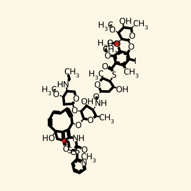 CCN[C@H]1CO[C@@H](O[C@H]2[C@H](O[C@H]3C#C/C=C/C#C[C@]4(O)CC(=O)C(NC(=O)OC)=C3/C4=C\CSSc3ccccn3)O[C@H](C)[C@@H](NO[C@H]3C[C@H](O)[C@H](SC(=O)c4c(C)c(I)c(O[C@@H]5O[C@@H](C)[C@H](O)[C@@H](OC)[C@H]5O)c(OC)c4OC)[C@@H](C)O3)[C@@H]2O)C[C@@H]1OC